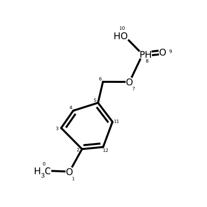 COc1ccc(CO[PH](=O)O)cc1